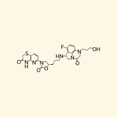 O=C1CSc2ccc(N3C[C@@H](CCCN[C@@H]4CN5C(=O)CN(CCCO)c6ccc(F)c4c65)OC3=O)nc2N1